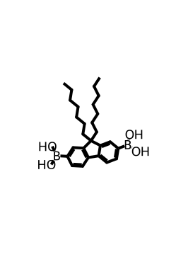 CCCCCCCC1(CCCCCCC)c2cc(B(O)O)ccc2-c2ccc(B(O)O)cc21